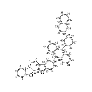 C1=CC2c3ccccc3OC2c2oc3ccc(-c4c5ccccc5c(-c5cccc(-c6ccc7ccccc7c6)c5)c5ccccc45)cc3c21